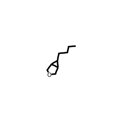 CCCCC1C2COCC12